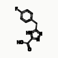 O=C(O)c1nnc(Cc2ccc(F)cc2)[nH]1